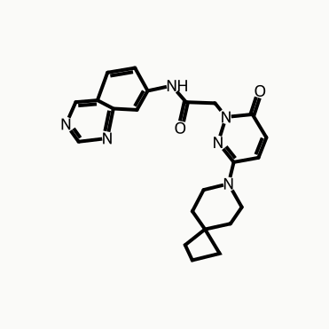 O=C(Cn1nc(N2CCC3(CCC3)CC2)ccc1=O)Nc1ccc2cncnc2c1